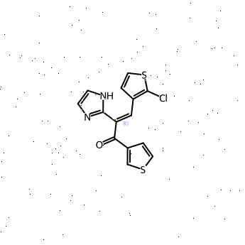 O=C(/C(=C/c1ccsc1Cl)c1ncc[nH]1)c1ccsc1